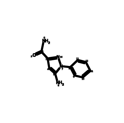 NC(=O)c1cc(N)n(-c2ccccc2)n1